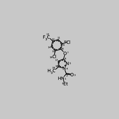 CCNC(=O)n1nc(Oc2c(Cl)cc(C(F)(F)F)cc2Cl)cc1C